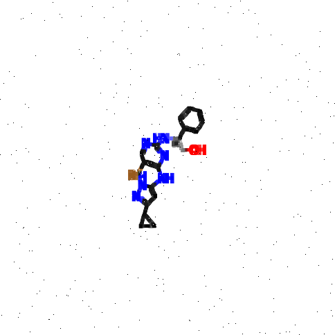 OC[C@H](Nc1ncc(Br)c(Nc2cc(C3CC3)n[nH]2)n1)c1ccccc1